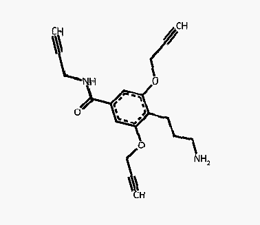 C#CCNC(=O)c1cc(OCC#C)c(CCCN)c(OCC#C)c1